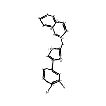 Clc1ccc(-c2c[nH]c(Cc3ccc4ccccc4c3)n2)cc1Cl